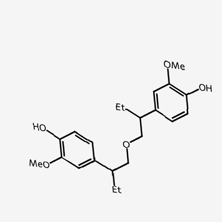 CCC(COCC(CC)c1ccc(O)c(OC)c1)c1ccc(O)c(OC)c1